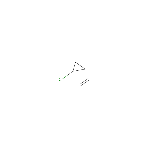 C=C.ClC1CC1